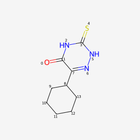 O=c1[nH]c(=S)[nH]nc1C1CCCCC1